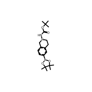 CC(C)(C)OC(=O)NN1CCc2cc(B3OC(C)(C)C(C)(C)O3)ccc2C1